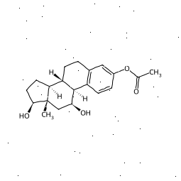 CC(=O)Oc1ccc2c(c1)CC[C@@H]1[C@@H]2[C@@H](O)C[C@]2(C)[C@@H](O)CC[C@@H]12